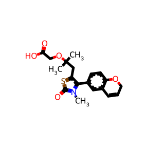 Cn1c(-c2ccc3c(c2)C=CCO3)c(CC(C)(C)OCC(=O)O)sc1=O